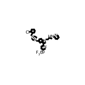 FC(F)(F)Oc1ccc(-c2cn(CCCCNc3ccccn3)c3ccc(CN4CCN(Cc5ccccc5Cl)CC4)cc23)nc1